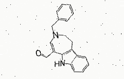 O=CC1=CN(Cc2ccccc2)CCc2c1[nH]c1ccccc21